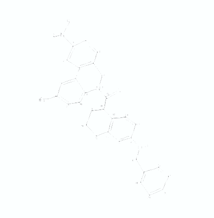 CC(C)c1ccc(N(Cc2ccc(N(C)C)cc2)C(=O)C2CCCc3cc(OCc4ccccc4)ccc32)cc1